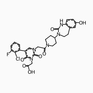 O=C(O)Cn1c(=O)c(-c2cccc(F)c2Cl)cn(CC(=O)N2CCC(N3CCc4cc(O)ccc4NC3=O)CC2)c1=O